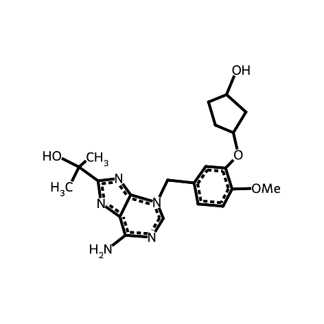 COc1ccc(Cn2cnc(N)c3nc(C(C)(C)O)nc2-3)cc1OC1CCC(O)C1